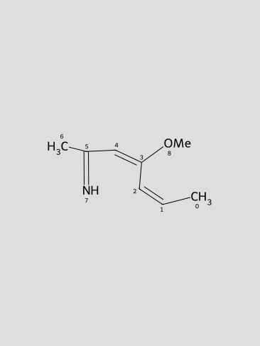 C/C=C\C(=C/C(C)=N)OC